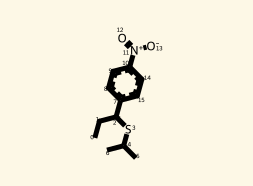 CC[C](SC(C)C)c1ccc([N+](=O)[O-])cc1